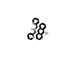 [Zn].c1ccc(CNCc2ccccn2)nc1.c1ccc2cc3ccccc3cc2c1